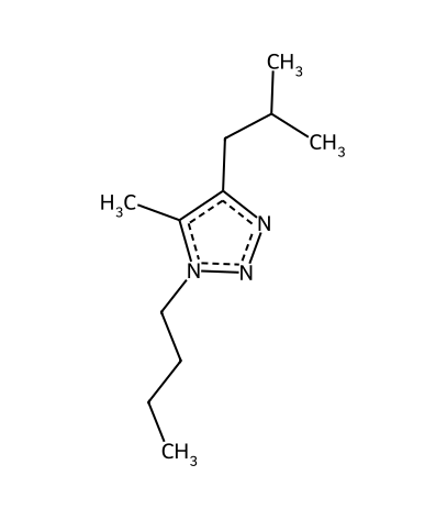 CCCCn1nnc(CC(C)C)c1C